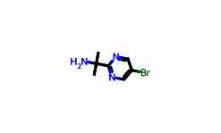 CC(C)(N)c1ncc(Br)cn1